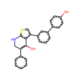 OC1=C(c2ccccc2)CNc2scc(-c3cccc(-c4ccc(O)cc4)c3)c21